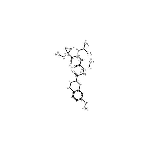 COc1ccc2c(c1)CC(C(=O)N[C@@H](CO)C(=O)N[C@@H](CC(C)C)C(=O)[C@@]1(CO)CO1)CC2